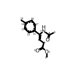 COC(=O)CC=C(NC(C)=O)c1ccc(C)cc1